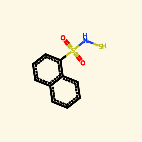 O=S(=O)(NS)c1cccc2ccccc12